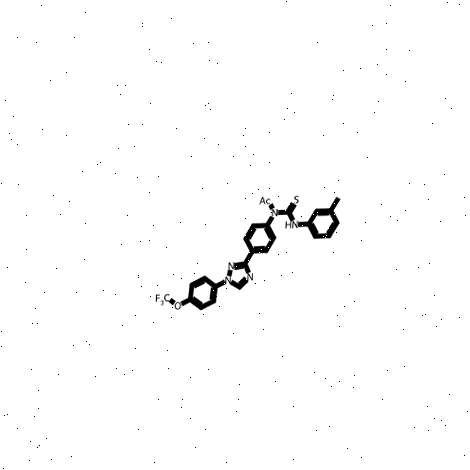 CC(=O)N(C(=S)Nc1cccc(C)c1)c1ccc(-c2ncn(-c3ccc(OC(F)(F)F)cc3)n2)cc1